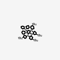 CC(C)(C)c1ccc(N2c3ccc(C(C)(C)C)cc3B3c4cc(C(C)(C)C)ccc4N(c4ccc(C(C)(C)C)cc4)c4cc(S(c5ccccc5)(c5ccccc5)c5ccccc5)cc2c43)cc1